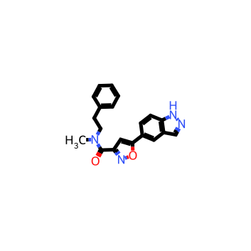 CN(CCc1ccccc1)C(=O)c1cc(-c2ccc3[nH]ncc3c2)on1